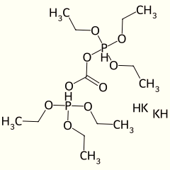 CCO[PH](OCC)(OCC)OC(=O)O[PH](OCC)(OCC)OCC.[KH].[KH]